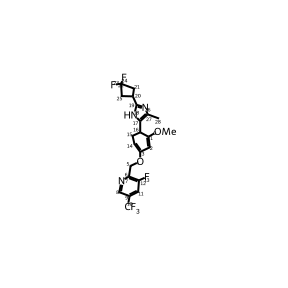 COC1=CC(OCc2ncc(C(F)(F)F)cc2F)=CCC1c1[nH]c(C2CC(F)(F)C2)nc1C